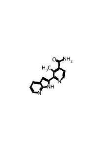 Cc1c(C(N)=O)ccnc1-c1cc2cccnc2[nH]1